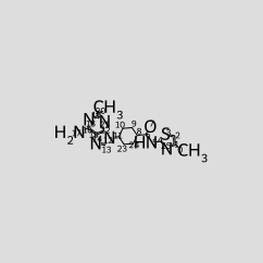 Cc1csc(NC(=O)C2CCC(n3cnc4c(N)nc(C)nc43)CC2)n1